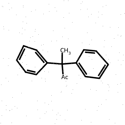 CC(=O)C(C)(c1ccccc1)c1ccccc1